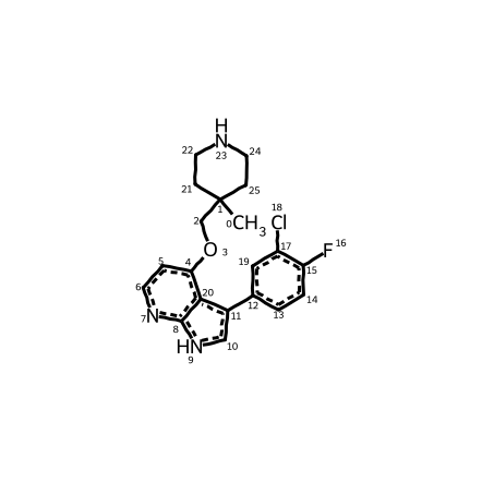 CC1(COc2ccnc3[nH]cc(-c4ccc(F)c(Cl)c4)c23)CCNCC1